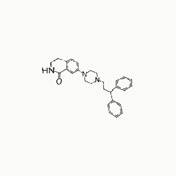 O=C1NCCc2ccc(N3CCN(CCC(c4ccccc4)c4ccccc4)CC3)cc21